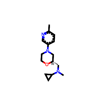 Cc1ccc(N2CCO[C@@H](CN(C)C3CC3)C2)cn1